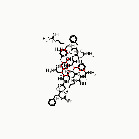 CCCC(=O)N[C@@H](Cc1ccccc1)C(=O)N[C@@H](CCCNC(=N)N)C(=O)BNC(Cc1ccc(O)cc1)C(=O)N[C@@H](Cc1ccccc1)C(=O)CC(C(=O)N[C@@H](CC(N)=O)C(=O)N[C@@H](Cc1ccccc1)C(=O)N[C@@H](CCCNC(=N)N)C(=O)N[C@@H](CC(N)=O)C(=O)N[C@@H](Cc1ccccc1)C(=O)N[C@@H](CCCNC(=N)N)C(N)=O)C(C)C